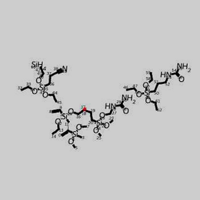 C=C[Si](C)(OC)OC.C=C[Si](C)(OCC)OCC.CCC[Si](OC)(OC)OCNC(N)=O.CCO[Si](CCC#N)(OCC)OCC.CCO[Si](CCCNC(N)=O)(OCC)OCC.[SiH4]